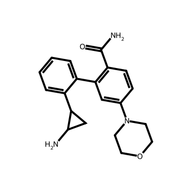 NC(=O)c1ccc(N2CCOCC2)cc1-c1ccccc1C1CC1N